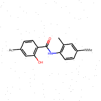 CNc1ccc(NC(=O)c2ccc(C(C)=O)cc2O)c(C)c1